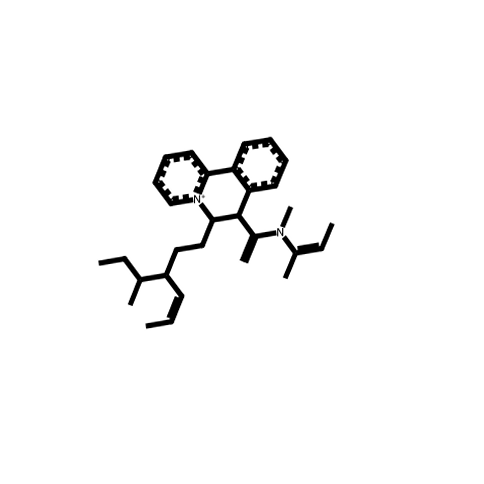 C=C(C1c2ccccc2-c2cccc[n+]2C1CCC(/C=C\C)C(C)CC)N(C)/C(C)=C\C